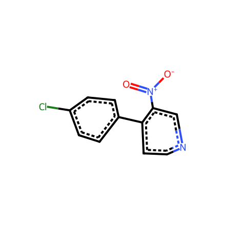 O=[N+]([O-])c1cnccc1-c1ccc(Cl)cc1